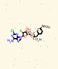 CC(=O)Nc1ccc(CC(OC[C@H]2O[C@@H](n3cnc4c(N)nc(Cl)nc43)[C@@H](F)[C@@H]2O)(C(=O)O)C(=O)O)cc1